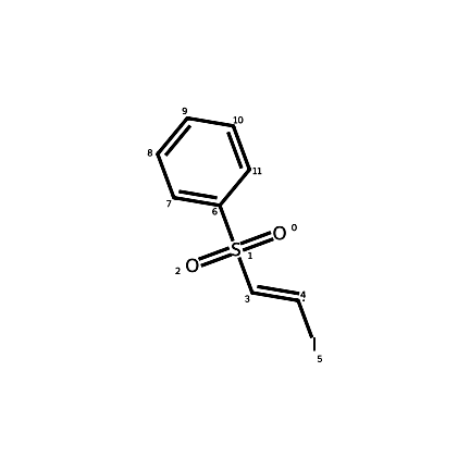 O=S(=O)(/C=[C]/I)c1ccccc1